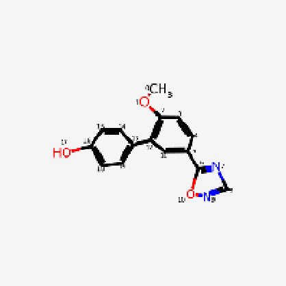 COc1ccc(-c2ncno2)cc1-c1ccc(O)cc1